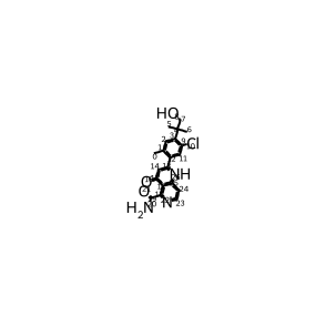 Cc1cc(C(C)(C)CO)c(Cl)cc1-c1cc(=O)c2c(C(N)=O)nccc2[nH]1